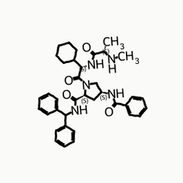 CN[C@@H](C)C(=O)N[C@H](C(=O)N1C[C@@H](NC(=O)c2ccccc2)C[C@H]1C(=O)NC(c1ccccc1)c1ccccc1)C1CCCCC1